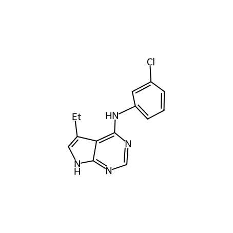 CCc1c[nH]c2ncnc(Nc3cccc(Cl)c3)c12